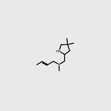 C/C=C/CN(C)CC1CC(C)(C)CN1